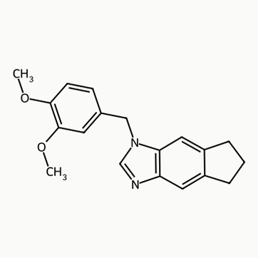 COc1ccc(Cn2cnc3cc4c(cc32)CCC4)cc1OC